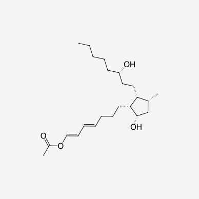 CCCCC[C@H](O)CC[C@H]1[C@@H](CCC/C=C/C=C/OC(C)=O)[C@@H](O)C[C@H]1C